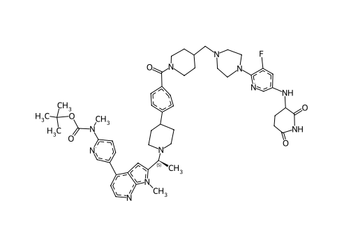 C[C@@H](c1cc2c(-c3ccc(N(C)C(=O)OC(C)(C)C)nc3)ccnc2n1C)N1CCC(c2ccc(C(=O)N3CCC(CN4CCN(c5ncc(NC6CCC(=O)NC6=O)cc5F)CC4)CC3)cc2)CC1